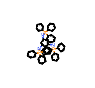 c1ccc(P(=Nc2cc(N=P(c3ccccc3)(c3ccccc3)c3ccccc3)cc(N=P(c3ccccc3)(c3ccccc3)c3ccccc3)c2)(c2ccccc2)c2ccccc2)cc1